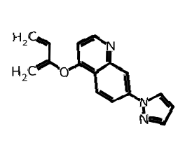 C=CC(=C)Oc1ccnc2cc(-n3cccn3)ccc12